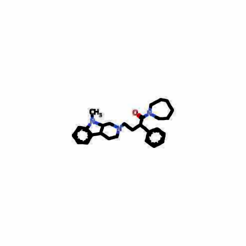 CN1c2ccccc2C2CCN(CCC(C(=O)N3CCCCCC3)c3ccccc3)CC21